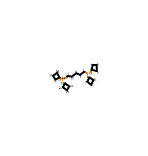 C(CCP(C1CCC1)C1CCC1)CCP(C1CCC1)C1CCC1